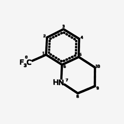 FC(F)(F)c1cccc2c1NCCC2